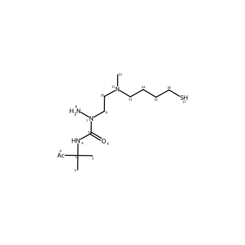 CC(=O)C(C)(C)NC(=O)N(N)CCN(C)CCCCS